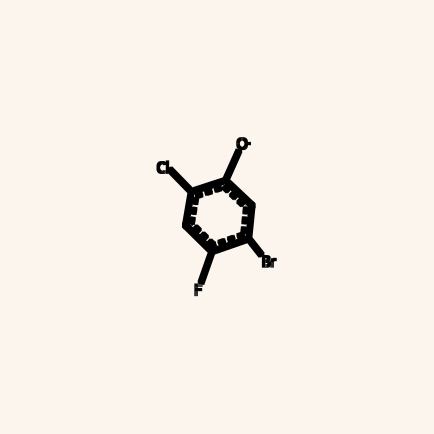 [O]c1cc(Br)c(F)cc1Cl